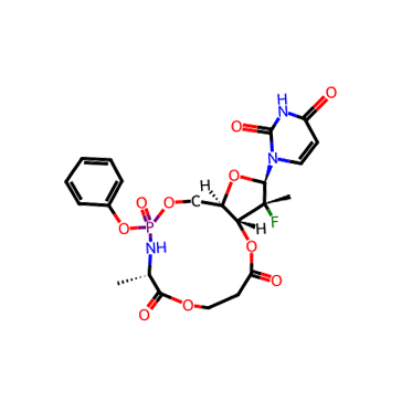 C[C@@H]1NP(=O)(Oc2ccccc2)OC[C@H]2O[C@@H](n3ccc(=O)[nH]c3=O)[C@](C)(F)[C@@H]2OC(=O)CCOC1=O